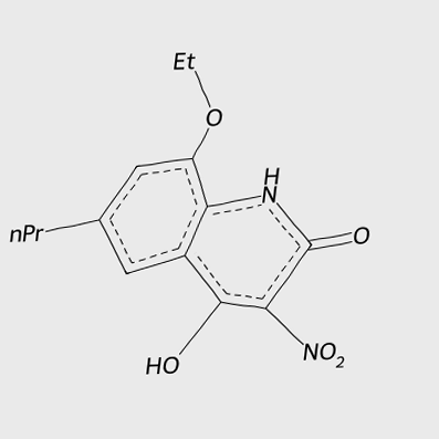 CCCc1cc(OCC)c2[nH]c(=O)c([N+](=O)[O-])c(O)c2c1